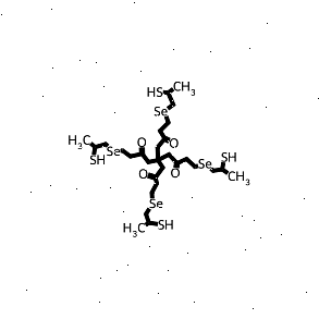 CC(S)C[Se]CCC(=O)CC(CC(=O)CC[Se]CC(C)S)(CC(=O)CC[Se]CC(C)S)CC(=O)CC[Se]CC(C)S